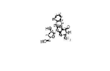 Nc1nc2c(c(=O)[nH]1)n(Cc1cccnc1)c(=O)n2[C@@H]1O[C@H](CO)C[C@H]1O